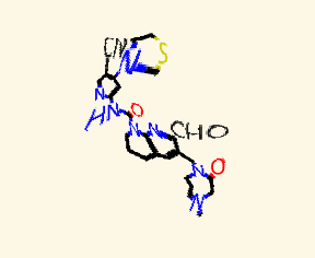 CN1CCN(Cc2cc3c(nc2C=O)N(C(=O)Nc2cc(N4CCSC4)c(C#N)cn2)CCC3)C(=O)C1